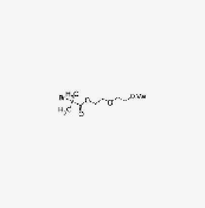 COCCOCCOC(=O)C(C)(C)Br